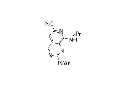 CNc1ncc2cc(C#N)nc(NC(C)C)c2n1